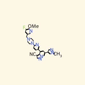 COc1ncc(CN2CCN(c3ccc(-c4cc(-c5cnn(C)c5)cn5ncc(C#N)c45)cn3)CC2)cc1F